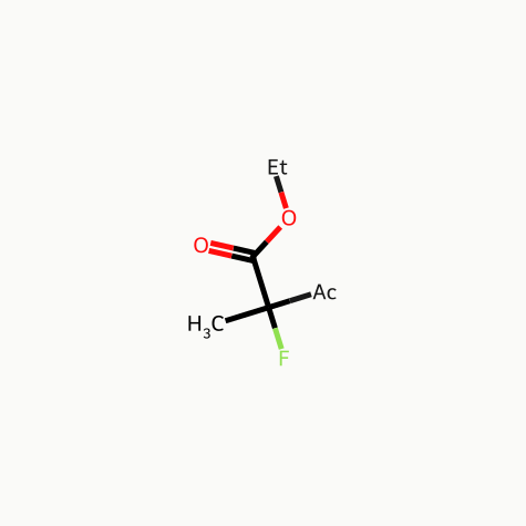 CCOC(=O)C(C)(F)C(C)=O